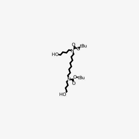 CC(C)(C)OC(=O)N(CCCCO)CCCCCCCCN(CCCCO)C(=O)OC(C)(C)C